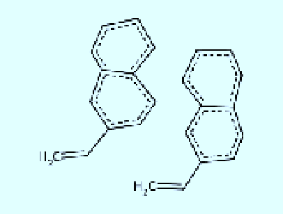 C=Cc1ccc2ccccc2c1.C=Cc1ccc2ccccc2c1